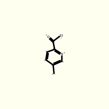 [CH2]c1ccc(C(=O)CC)nc1